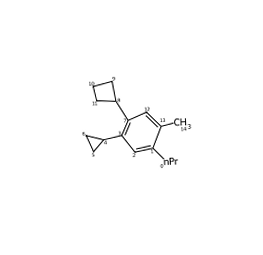 CCCc1cc(C2CC2)c(C2CCC2)cc1C